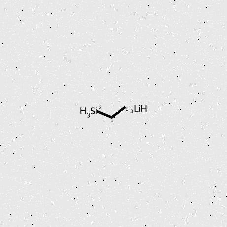 C[CH][SiH3].[LiH]